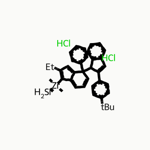 CCC1=[C]([Zr]([CH3])([CH3])=[SiH2])C2=CC=CC(c3ccccc3)(C3C(c4ccc(C(C)(C)C)cc4)=Cc4ccccc43)C2=C1.Cl.Cl